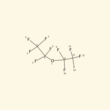 FC(F)(F)C(F)(F)OC(F)(F)C(F)(F)I